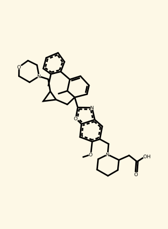 COc1cc2oc(C3(CC4CC4CN4CCOCC4)C=CC=C(c4ccccc4C)C3C)nc2cc1CN1CCCCC1CC(=O)O